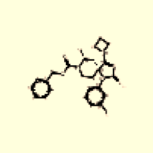 C[C@H]1C[C@]2(CCN1C(=O)OCc1ccccc1)C(N1CCC1)=NC(=O)N2c1cccc(F)c1